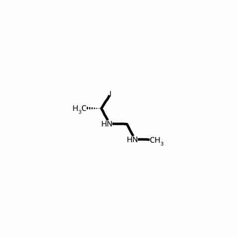 CNCN[C@H](C)I